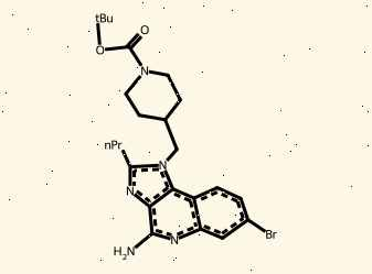 CCCc1nc2c(N)nc3cc(Br)ccc3c2n1CC1CCN(C(=O)OC(C)(C)C)CC1